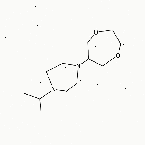 CC(C)N1CCN(C2COCCOC2)CC1